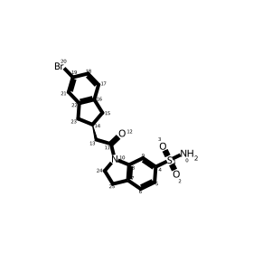 NS(=O)(=O)c1ccc2c(c1)N(C(=O)C[C@@H]1Cc3ccc(Br)cc3C1)CC2